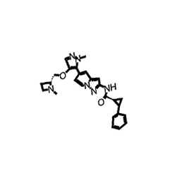 CN1CC[C@@H]1COc1cnn(C)c1-c1ccn2nc(NC(=O)[C@H]3CC3c3ccccc3)cc2c1